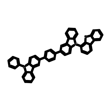 c1ccc(-n2c3ccccc3c3cc(-c4ccc(-c5ccc6c(c5)c5ccccc5n6-c5cccc6c5sc5ccccc56)cc4)ccc32)cc1